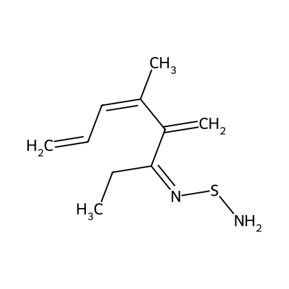 C=C/C=C(/C)C(=C)/C(CC)=N\SN